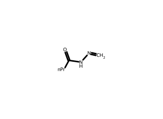 C=NNC(=O)CCC